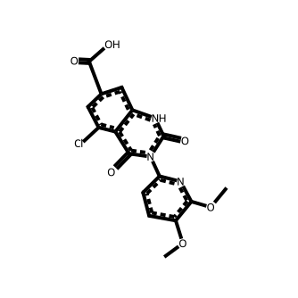 COc1ccc(-n2c(=O)[nH]c3cc(C(=O)O)cc(Cl)c3c2=O)nc1OC